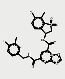 Cc1cc(CNC(=O)c2cc(C(=O)NC3CS(=O)(=O)c4c3ccc(Cl)c4C)n3ncnc3n2)ccc1F